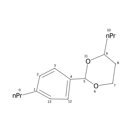 CCCc1ccc(C2OCCC(CCC)O2)cc1